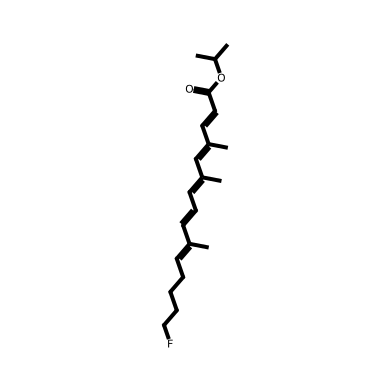 CC(=C\C=C\C(C)=C\CCCCF)/C=C(C)/C=C/C(=O)OC(C)C